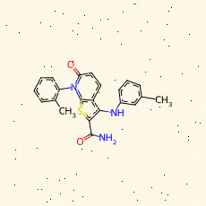 Cc1cccc(Nc2c(C(N)=O)sc3c2ccc(=O)n3-c2ccccc2C)c1